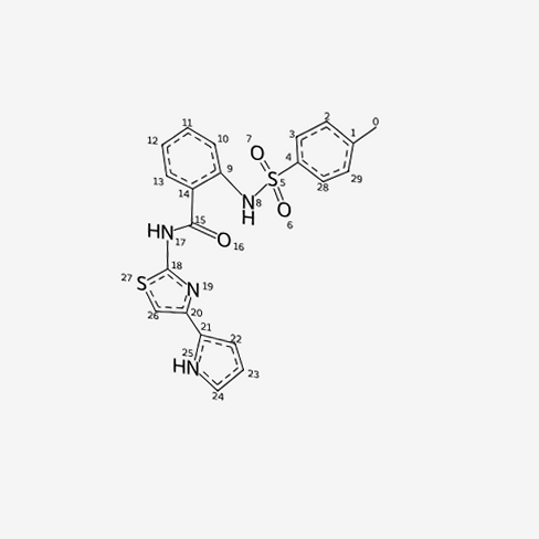 Cc1ccc(S(=O)(=O)Nc2ccccc2C(=O)Nc2nc(-c3ccc[nH]3)cs2)cc1